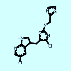 Clc1cnc2c(c1)C(Cc1sc(NCc3nccs3)nc1Cl)CN2